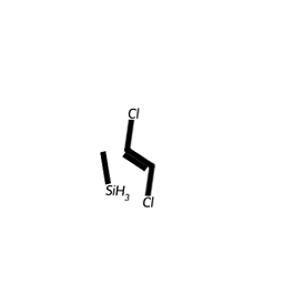 C[SiH3].ClC=CCl